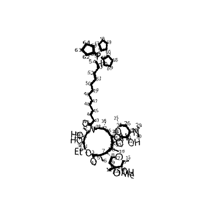 CC[C@H]1OC(=O)[C@H](C)C([C@H]2C[C@@](C)(OC)[C@@H](O)[C@H](C)O2)[C@H](C)[C@@H](O[C@@H]2O[C@H](C)C[C@H](N(C)C)[C@H]2O)[C@](C)(O)C[C@@H](C)CN(C(=O)CCCCCCCCCCCC[PH](C2CCCC2)(C2CCCC2)C2CCCC2)[C@H](C)[C@@H](O)[C@]1(C)O